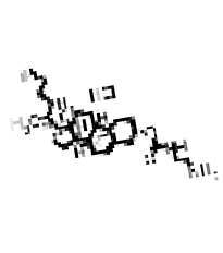 CC(C)CCC[C@@H](C)[C@H]1CC[C@H]2[C@@H]3CC=C4C[C@@H](OC(=O)NCCN)CC[C@]4(C)[C@H]3CC[C@]12C.Cl